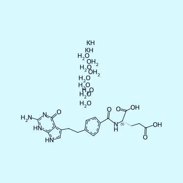 Nc1nc(=O)c2c(CCc3ccc(C(=O)N[C@@H](CCC(=O)O)C(=O)O)cc3)c[nH]c2[nH]1.O.O.O.O.O.O.O.O.O.[KH].[KH]